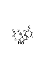 CC(O)C1(c2cccc(Cl)c2)CCCN(C)CC1